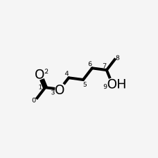 CC(=O)OCCCC(C)O